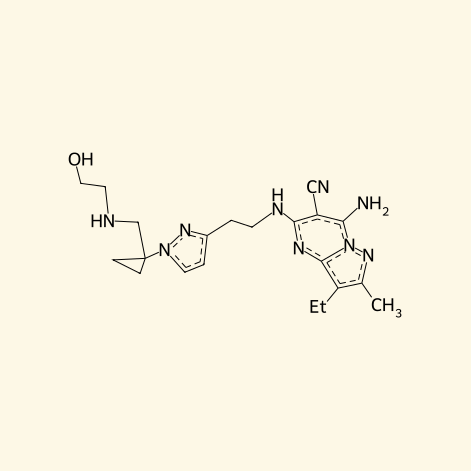 CCc1c(C)nn2c(N)c(C#N)c(NCCc3ccn(C4(CNCCO)CC4)n3)nc12